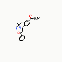 CNC(=O)c1ccc2c(c1)CC(C)(C)NC2=CC(=O)c1ccccc1